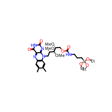 CCO[Si](CCCNC(=O)OC[C@@H](OC)[C@@H](OC)[C@H](Cn1c2nc(=O)[nH]c(=O)c-2nc2cc(C)c(C)cc21)OC)(OCC)OCC